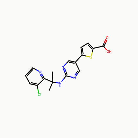 CC(C)(Nc1ncc(-c2ccc(C(=O)O)s2)cn1)c1ncccc1Cl